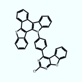 Clc1nc(-c2ccc(-n3c4ccccc4c4c5ccccc5c5sc6ccccc6c5c43)cc2)c2c(n1)oc1ccccc12